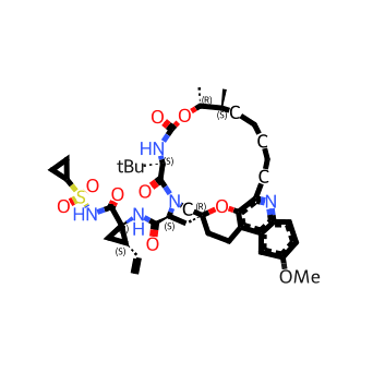 C=C[C@@H]1C[C@]1(NC(=O)[C@@H]1C[C@]23CCc4c(c(nc5ccc(OC)cc45)CCCCC[C@H](C)[C@@H](C)OC(=O)N[C@@H](C(C)(C)C)C(=O)N1C2)O3)C(=O)NS(=O)(=O)C1CC1